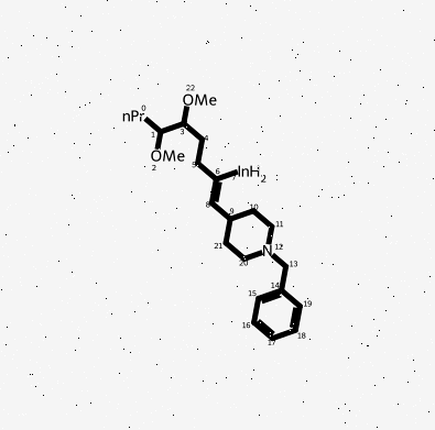 CCCC(OC)C(CC[C]([InH2])=CC1CCN(Cc2ccccc2)CC1)OC